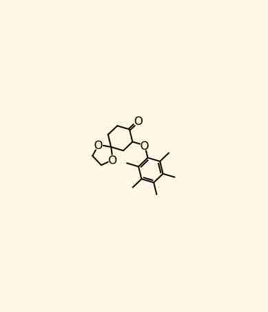 Cc1c(C)c(C)c(OC2CC3(CCC2=O)OCCO3)c(C)c1C